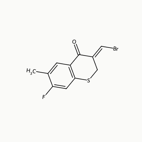 Cc1cc2c(cc1F)SCC(=CBr)C2=O